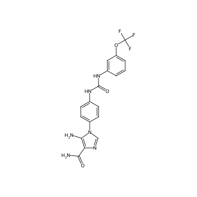 NC(=O)c1ncn(-c2ccc(NC(=O)Nc3cccc(OC(F)(F)F)c3)cc2)c1N